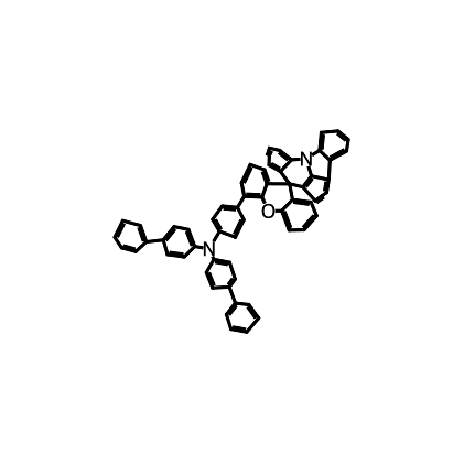 c1ccc(-c2ccc(N(c3ccc(-c4ccccc4)cc3)c3ccc(-c4cccc5c4Oc4ccccc4C54c5ccccc5-n5c6ccccc6c6cccc4c65)cc3)cc2)cc1